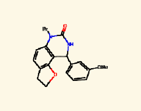 COc1cccc(C2NC(=O)N(C(C)C)c3ccc4c(c32)OCC4)c1